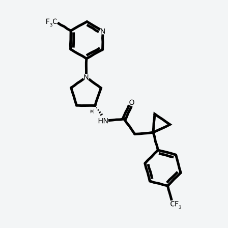 O=C(CC1(c2ccc(C(F)(F)F)cc2)CC1)N[C@@H]1CCN(c2cncc(C(F)(F)F)c2)C1